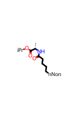 CCCCCCCCCCCCCC(=O)N[C@@H](C)C(=O)OC(C)C